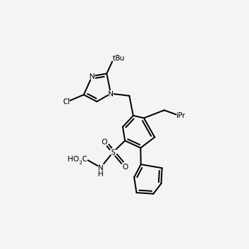 CC(C)Cc1cc(-c2ccccc2)c(S(=O)(=O)NC(=O)O)cc1Cn1cc(Cl)nc1C(C)(C)C